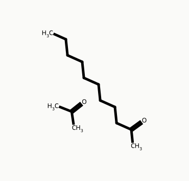 CC(C)=O.CCCCCCCCCC(C)=O